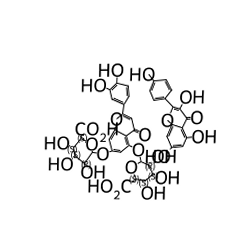 O=C(O)[C@H]1OC(Oc2cc(OC3O[C@H](C(=O)O)[C@@H](O)[C@H](O)[C@H]3O)c3c(=O)cc(-c4ccc(O)c(O)c4)oc3c2)[C@H](O)[C@@H](O)[C@@H]1O.O=c1c(O)c(-c2ccc(O)cc2)oc2cc(O)cc(O)c12